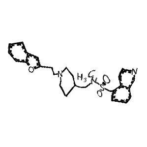 CN(CC1CCN(CCc2cc3ccccc3o2)CC1)S(=O)(=O)c1cccc2cnccc12